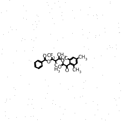 Cc1cc(C)c(C(=O)C(=O)OC(C)C(C)C(OC(=O)c2ccccc2)C(F)(F)F)c(C)c1